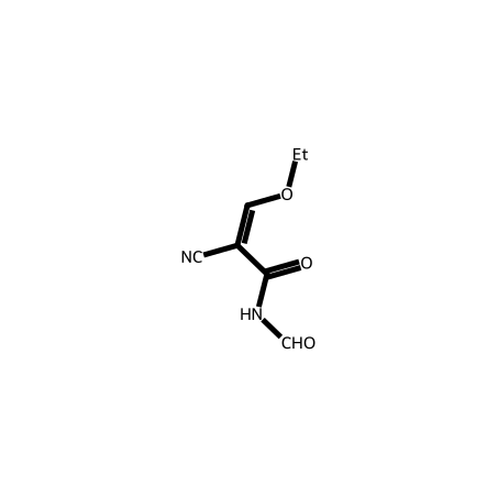 CCOC=C(C#N)C(=O)NC=O